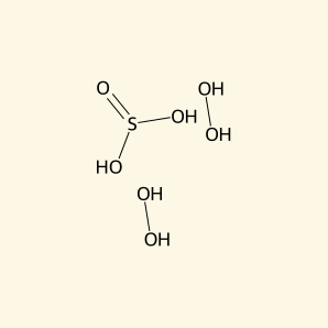 O=S(O)O.OO.OO